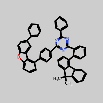 CC1(C)c2ccccc2-c2c(-c3ccccc3-c3nc(-c4ccccc4)nc(-c4ccc(-c5cccc6oc7ccc(-c8ccccc8)cc7c56)cc4)n3)cccc21